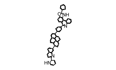 C1=CNC(c2ccc3ccc(-c4ccc5ccc6c(-c7ccc(-c8nc9ccccc9c9c%10c(ccc89)OC(c8ccccc8)N%10)cc7)ccc7ccc4c5c76)cc3n2)C=C1